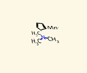 CN(C)C.[CH]1C=CC=C1.[Mn]